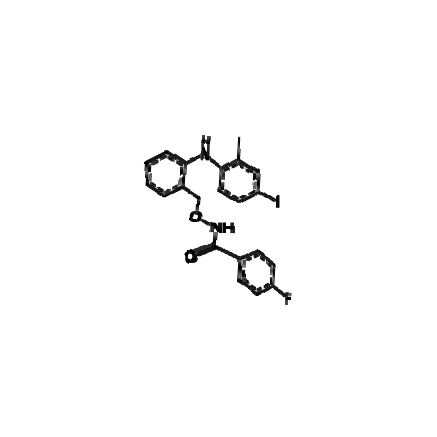 Cc1cc(I)ccc1Nc1ccccc1CONC(=O)c1ccc(F)cc1